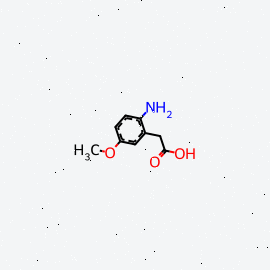 COc1ccc(N)c(CC(=O)O)c1